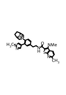 CNc1c(C(=O)NCCc2ccc(N3CC4CCC(C3)N4)c(-c3cnn(C)c3)c2)sc2nc(C)ccc12